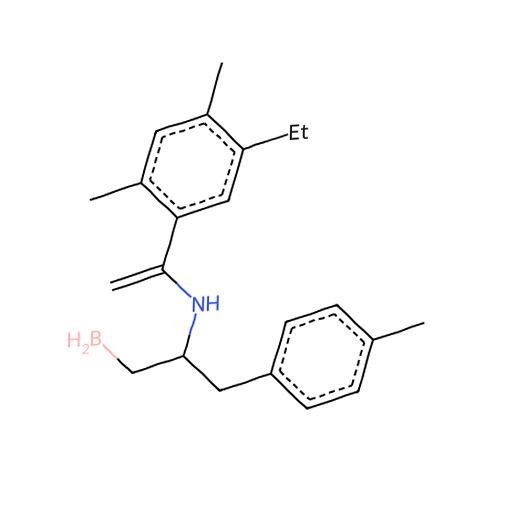 BCC(Cc1ccc(C)cc1)NC(=C)c1cc(CC)c(C)cc1C